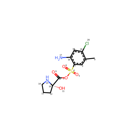 Cc1cc(S(=O)(=O)OC(=O)[C@@]2(O)CCCN2)c(N)cc1Cl